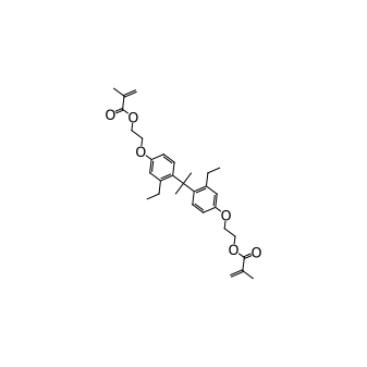 C=C(C)C(=O)OCCOc1ccc(C(C)(C)c2ccc(OCCOC(=O)C(=C)C)cc2CC)c(CC)c1